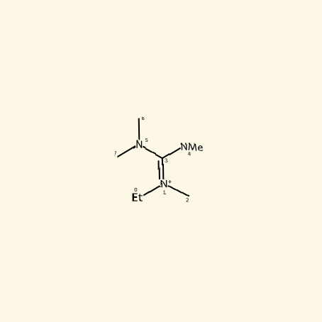 CC[N+](C)=C(NC)N(C)C